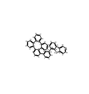 c1cc(-c2cccc3c2-c2ccccc2-c2ccccc2-c2ccccc2-3)cc(-c2cccc3c2sc2ccncc23)c1